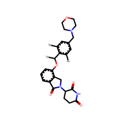 [2H]c1cc(CN2CCOCC2)cc([2H])c1C([2H])Oc1cccc2c1CN(C1CCC(=O)NC1=O)C2=O